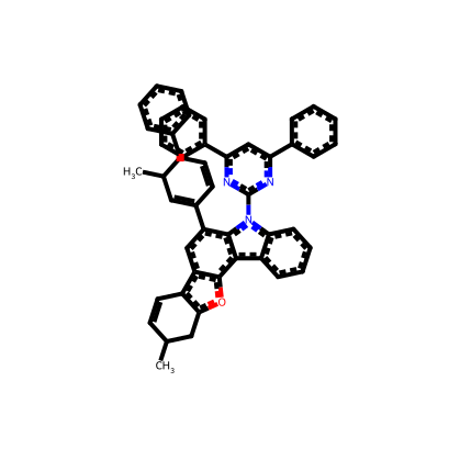 CC1C=Cc2c(oc3c2cc(C2=CC(C)C(c4ccccc4)C=C2)c2c3c3ccccc3n2-c2nc(-c3ccccc3)cc(-c3ccccc3)n2)C1